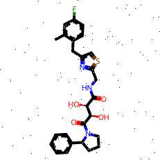 Cc1cc(F)ccc1Cc1csc(CNC(=O)[C@H](O)[C@@H](O)C(=O)N2CCCC2c2ccccc2)n1